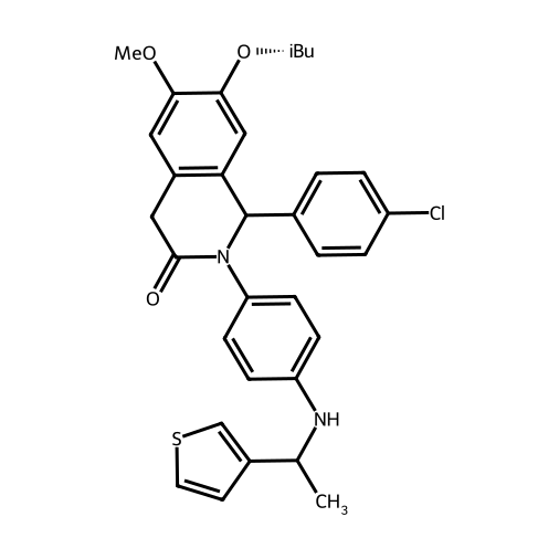 CC[C@@H](C)Oc1cc2c(cc1OC)CC(=O)N(c1ccc(NC(C)c3ccsc3)cc1)C2c1ccc(Cl)cc1